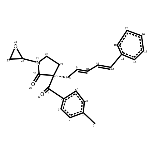 Cc1ccc(C(=O)[C@]2(C/C=C/C=C/c3ccccc3)CCN(C3CO3)C2=O)cc1